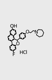 Cl.Oc1ccc2c3c(ccc2c1)-c1ccc(F)cc1OC3c1ccc(OCCN2CCCCCC2)cc1